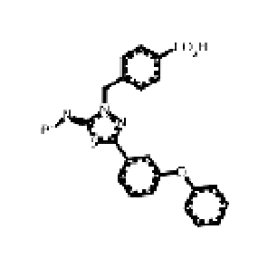 CC(C)/N=c1\sc(-c2cccc(Oc3ccccc3)c2)nn1Cc1ccc(C(=O)O)cc1